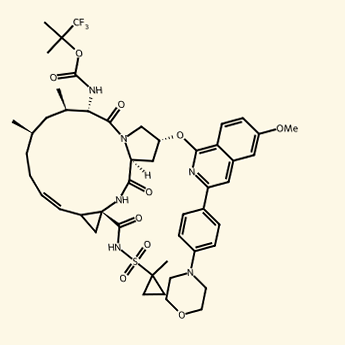 COc1ccc2c(O[C@@H]3C[C@H]4C(=O)N[C@]5(C(=O)NS(=O)(=O)C6(C)CC6)CC5/C=C\CC[C@@H](C)C[C@@H](C)[C@H](NC(=O)OC(C)(C)C(F)(F)F)C(=O)N4C3)nc(-c3ccc(N4CCOCC4)cc3)cc2c1